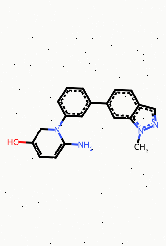 Cn1ncc2ccc(-c3cccc(N4CC(O)=CC=C4N)c3)cc21